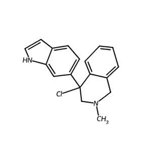 CN1Cc2ccccc2C(Cl)(c2ccc3cc[nH]c3c2)C1